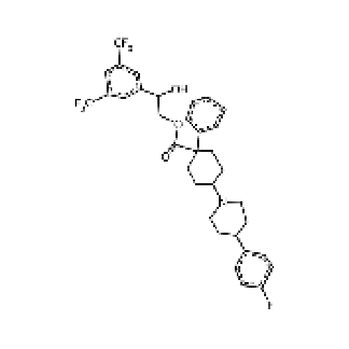 O=C(OCC(O)c1cc(C(F)(F)F)cc(C(F)(F)F)c1)C1(c2ccccc2)CCC(N2CCC(c3ccc(F)cc3)CC2)CC1